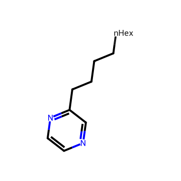 CCCCCCCCCCc1cnccn1